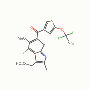 COC1=C(C(=O)c2csc(OC(F)(F)C(F)(F)F)c2)CC2=NC(C)=C(CC(=O)O)C2=C1F